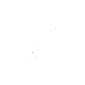 Cc1ccc(N2CC[C@H](OCc3ccc4c(c3)CN(C(=O)OC(C)C)CC4)C2)cc1